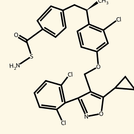 C[C@H](Cc1ccc(C(=O)SN)cc1)c1ccc(OCc2c(-c3c(Cl)cccc3Cl)noc2C2CC2)cc1Cl